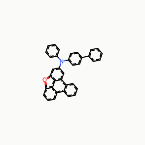 c1ccc(-c2ccc(N(c3ccccc3)c3cc4oc5cccc6c7ccccc7c(c3)c4c56)cc2)cc1